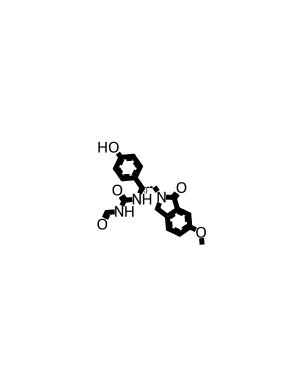 COc1ccc2c(c1)C(=O)N(C[C@H](NC(=O)NC=O)c1ccc(O)cc1)C2